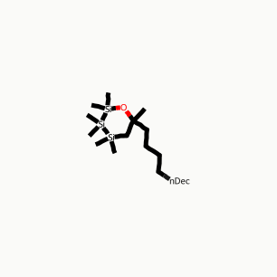 CCCCCCCCCCCCCCC1(C)C[Si](C)(C)[Si](C)(C)[Si](C)(C)O1